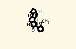 COc1ccccc1C1=C[C@@]2(C)[C@@H](CC[C@H]3[C@@H]4CCC[C@@]4(C)CC[C@@H]32)CC1=O